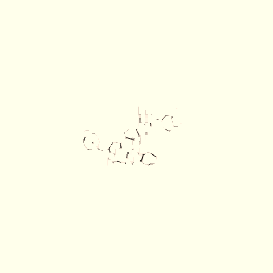 O=C(Nc1ccc(Cl)c(Cl)c1)Nc1ccc(-c2cc(CN3CCOCC3)n3ncnc(Nc4ccccc4)c23)cc1F